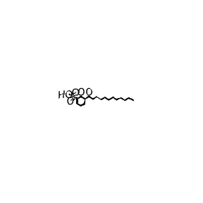 CCCCCCCCCCCC(=O)C1C=CC=C(S(=O)(=O)O)C1=O